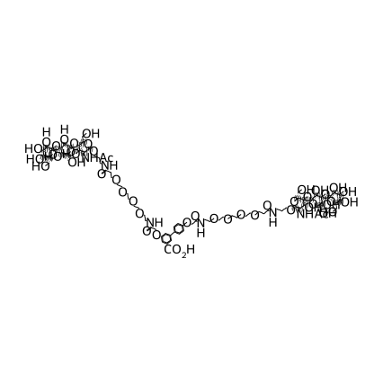 CC(=O)N[C@H]1[C@H](OCCCNC(=O)CCOCCOCCOCCOCCNC(=O)COc2ccc(-c3cc(OCC(=O)NCCOCCOCCOCCOCCC(=O)NCCCO[C@@H]4O[C@H](CO)[C@@H](O[C@@H]5O[C@H](CO)[C@H](O)[C@H](O[C@H]6O[C@H](CO)[C@H](O)[C@H](O)[C@H]6O)[C@H]5O)[C@H](O)[C@H]4NC(C)=O)cc(C(=O)O)c3)cc2)O[C@H](CO)[C@@H](O[C@@H]2O[C@H](CO)[C@H](O)[C@H](O[C@H]3O[C@H](CO)[C@H](O)[C@H](O)[C@H]3O)[C@H]2O)[C@@H]1O